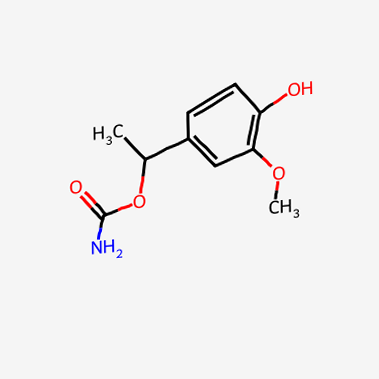 COc1cc(C(C)OC(N)=O)ccc1O